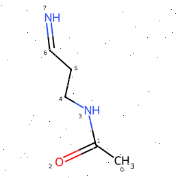 CC(=O)NCCC=N